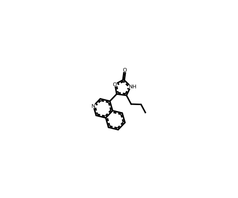 CCCc1[nH]c(=O)oc1-c1cncc2ccccc12